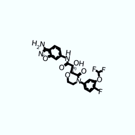 Nc1noc2cc(NC(=O)[C@H](O)[C@H]3OCCN(c4ccc(F)c(OC(F)F)c4)C3=O)ccc12